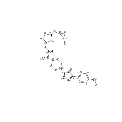 COc1ccc(-c2noc(N3CCC(C(=O)NCC4CCN(CC5CC5C)C4)CC3)n2)cc1